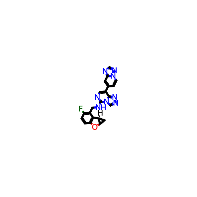 Fc1ccc2c(c1CNc1ncc(-c3ccn4ncnc4c3)c3nncn13)[C@H]1CC1O2